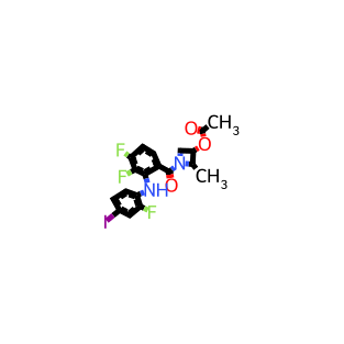 CC(=O)OC1CN(C(=O)c2ccc(F)c(F)c2Nc2ccc(I)cc2F)C1C